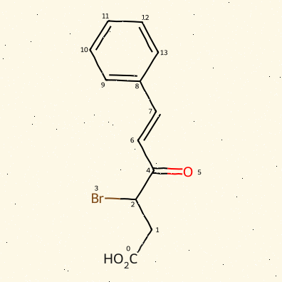 O=C(O)CC(Br)C(=O)C=Cc1ccccc1